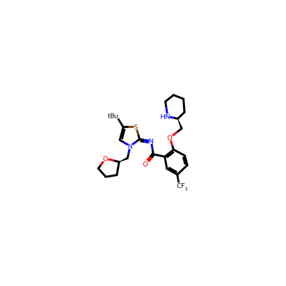 CC(C)(C)c1cn(C[C@H]2CCCO2)c(=NC(=O)c2cc(C(F)(F)F)ccc2OC[C@@H]2CCCCN2)s1